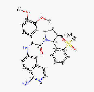 CCOc1cc([C@@H](Nc2ccc3c(N)nccc3c2)C(=O)N2CCC(C(=O)O)C2c2ccccc2S(=O)(=O)C(C)C)ccc1OC(C)C